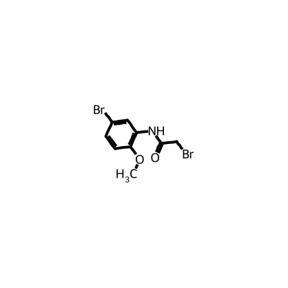 COc1ccc(Br)cc1NC(=O)CBr